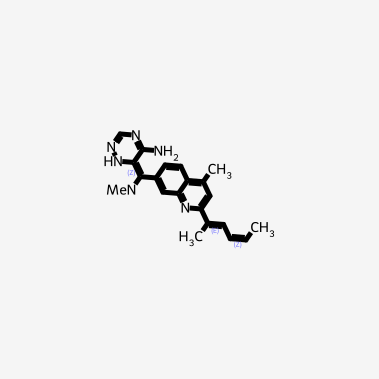 C/C=C\C=C(/C)c1cc(C)c2ccc(/C(NC)=C3/NN=CN=C3N)cc2n1